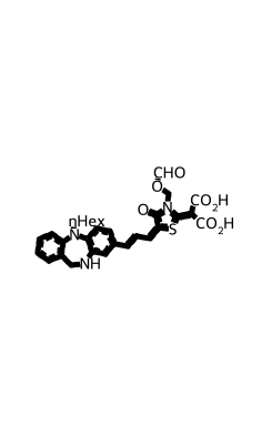 CCCCCCN1c2ccccc2CNc2cc(/C=C/C=c3/sc(=C(C(=O)O)C(=O)O)n(COC=O)c3=O)ccc21